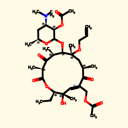 C=CCO[C@@]1(C)C[C@@H](C)C(=O)/C(COC(C)=O)=C/[C@](C)(O)[C@@H](CC)OC(=O)[C@H](C)C(=O)[C@H](C)[C@H]1OC1O[C@H](C)C[C@H](N(C)C)[C@H]1OC(C)=O